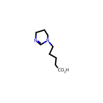 O=C(O)CCCCN1C=NCCC1